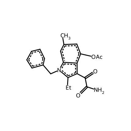 CCc1c(C(=O)C(N)=O)c2c(OC(C)=O)cc(C)cc2n1Cc1ccccc1